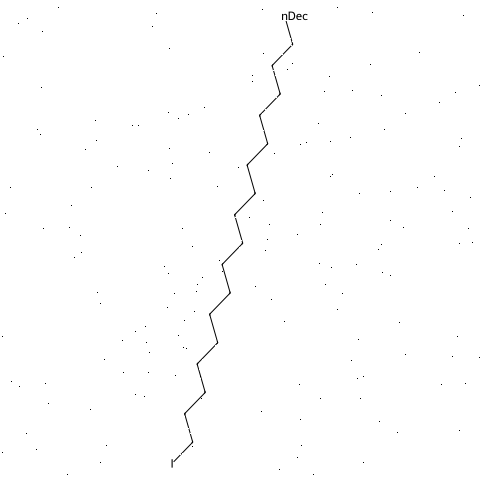 CCCCCCCCCCCCCCCCCCCCCCCCCCCI